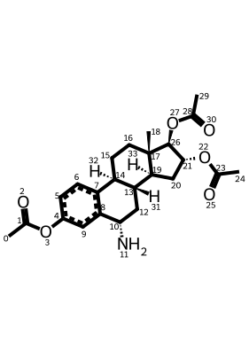 CC(=O)Oc1ccc2c(c1)[C@@H](N)C[C@@H]1[C@@H]2CC[C@@]2(C)[C@H]1C[C@@H](OC(C)=O)[C@@H]2OC(C)=O